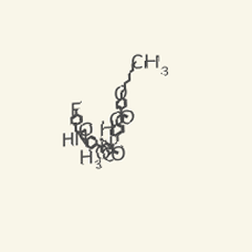 CCCCCCCOc1ccc(C(=O)Oc2ccc(C[C@H](NC(=O)c3ccc(NC(=O)Cc4ccc(F)cc4)cc3)C(C)=O)cc2)cc1